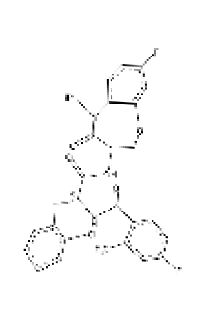 CC(C)N1C(=O)C(NC(=O)[C@@H](Cc2ccccc2Cl)NC(=O)c2ccc(F)cc2C(F)(F)F)COc2cc(F)ccc21